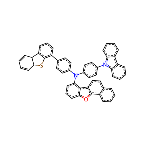 C1=CC2Sc3c(-c4ccc(N(c5ccc(-n6c7ccccc7c7ccccc76)cc5)c5cccc6oc7c8ccccc8ccc7c56)cc4)cccc3C2C=C1